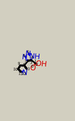 O=C(O)c1[nH]nnc1-c1cccnc1